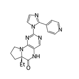 CC[C@@]12CCCN1c1nc(-n3ccnc3-c3ccncc3)ncc1NC2=O